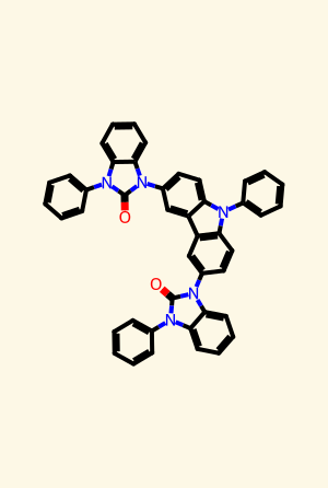 O=c1n(-c2ccccc2)c2ccccc2n1-c1ccc2c(c1)c1cc(-n3c(=O)n(-c4ccccc4)c4ccccc43)ccc1n2-c1ccccc1